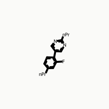 CCCc1ccc(-c2cnc(CCC)nc2)c(F)c1